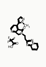 Cn1nccc1-c1ccnc2c1C(=O)N(CCc1nc3ccccn3n1)C2.O=C(O)C(F)(F)F